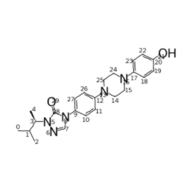 CC(C)[C@@H](C)n1ncn(-c2ccc(N3CCN(c4ccc(O)cc4)CC3)cc2)c1=O